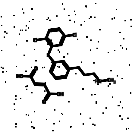 CNCCCc1cccc(Sc2cc(Cl)ccc2Cl)c1.O=C(O)C=CC(=O)O